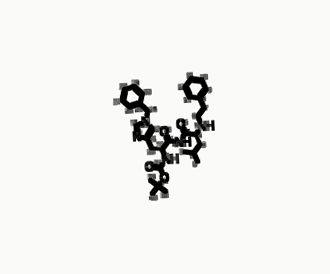 CC(C)C[C@H](NCCc1ccccc1)C(=O)NC(=O)[C@H](Cc1cn(Cc2ccccc2)cn1)NC(=O)OC(C)(C)C